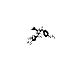 Cc1cc(Nc2nc(Nc3ccc(N)cc3)nc(C3CC3)n2)n[nH]1